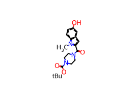 Cn1c(C(=O)N2CCN(C(=O)OC(C)(C)C)CC2)cc2cc(O)ccc21